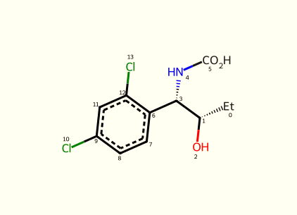 CC[C@H](O)[C@@H](NC(=O)O)c1ccc(Cl)cc1Cl